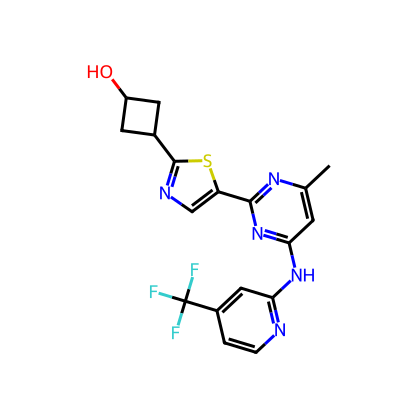 Cc1cc(Nc2cc(C(F)(F)F)ccn2)nc(-c2cnc(C3CC(O)C3)s2)n1